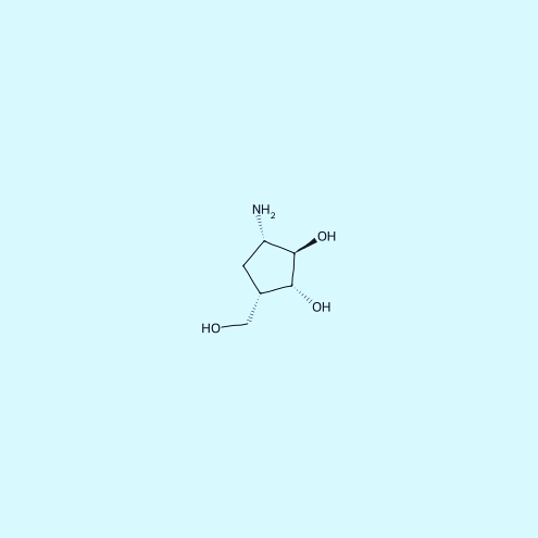 N[C@H]1C[C@@H](CO)[C@@H](O)[C@@H]1O